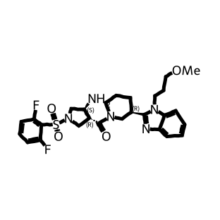 COCCCn1c([C@@H]2CCCN(C(=O)[C@@H]3CN(S(=O)(=O)c4c(F)cccc4F)C[C@H]3N)C2)nc2ccccc21